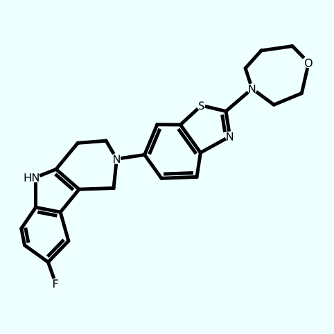 Fc1ccc2[nH]c3c(c2c1)CN(c1ccc2nc(N4CCCOCC4)sc2c1)CC3